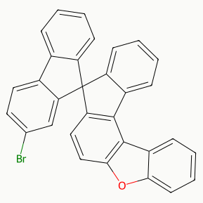 Brc1ccc2c(c1)C1(c3ccccc3-2)c2ccccc2-c2c1ccc1oc3ccccc3c21